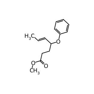 CC=CC(CCC(=O)OC)Oc1ccccc1